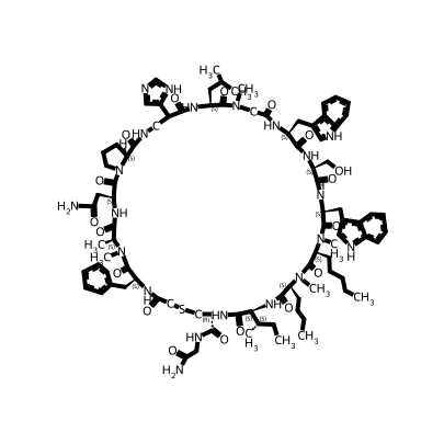 CCCCC[C@H]1C(=O)N(C)[C@@H](CCCC)C(=O)N[C@@H]([C@@H](C)CC)C(=O)N[C@H](C(=O)NCC(N)=O)CSCC(=O)N[C@@H](Cc2ccccc2)C(=O)N(C)[C@@H](C)C(=O)N[C@@H](CC(N)=O)C(=O)N2CCC[C@H]2C(=O)NCC(c2cnc[nH]2)C(=O)N[C@@H](CC(C)C)C(=O)N(C)CC(=O)N[C@@H](Cc2c[nH]c3ccccc23)C(=O)N[C@@H](CO)C(=O)N[C@@H](Cc2c[nH]c3ccccc23)C(=O)N1C